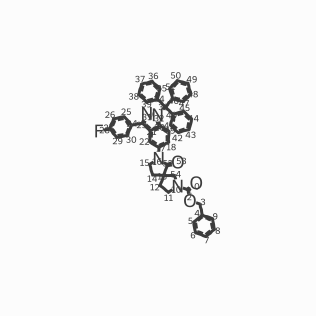 O=C(OCc1ccccc1)N1CCC2(CCN(c3ccc4c(c3)c(-c3ccc(F)cc3)nn4C(c3ccccc3)(c3ccccc3)c3ccccc3)C2=O)C1